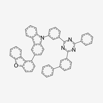 c1ccc(-c2cccc(-c3nc(-c4ccccc4)nc(-c4cccc(-n5c6ccccc6c6cc(-c7cccc8oc9ccccc9c78)ccc65)c4)n3)c2)cc1